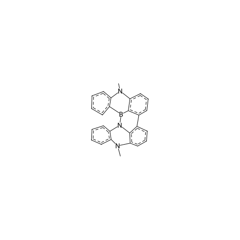 CN1c2ccccc2B2c3c(cccc31)-c1cccc3c1N2c1ccccc1N3C